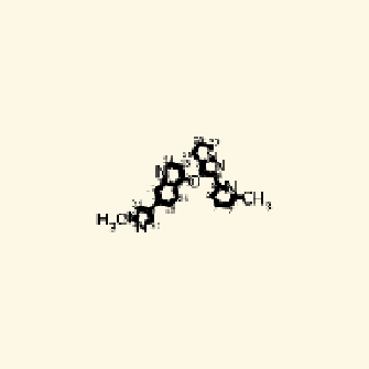 Cc1cccc(-c2nn3c(c2Oc2ccnc4cc(-c5cnn(C)c5)ccc24)CCC3)n1